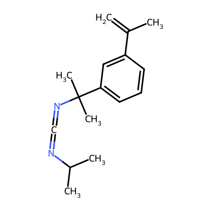 C=C(C)c1cccc(C(C)(C)N=C=NC(C)C)c1